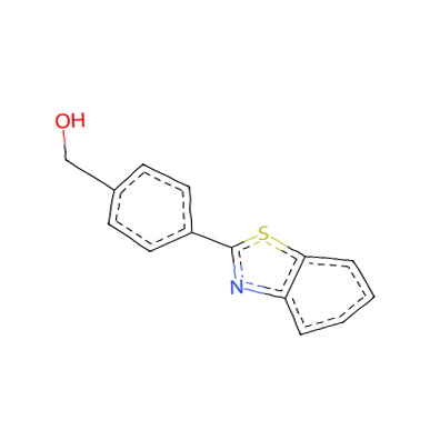 OCc1ccc(-c2nc3ccccc3s2)cc1